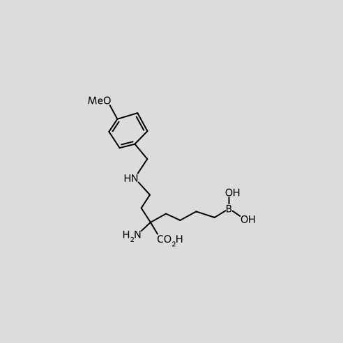 COc1ccc(CNCCC(N)(CCCCB(O)O)C(=O)O)cc1